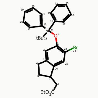 CCOC(=O)CC1CCc2cc(O[Si](c3ccccc3)(c3ccccc3)C(C)(C)C)c(Br)cc21